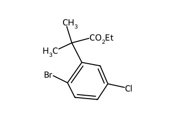 CCOC(=O)C(C)(C)c1cc(Cl)ccc1Br